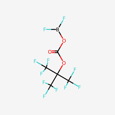 O=C(OB(F)F)OC(C(F)(F)F)(C(F)(F)F)C(F)(F)F